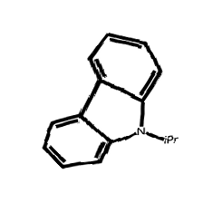 [CH2]C(C)n1c2ccccc2c2ccccc21